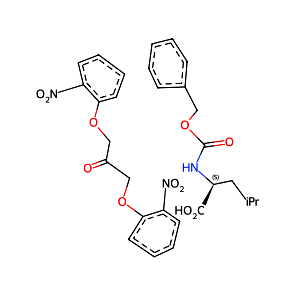 CC(C)C[C@H](NC(=O)OCc1ccccc1)C(=O)O.O=C(COc1ccccc1[N+](=O)[O-])COc1ccccc1[N+](=O)[O-]